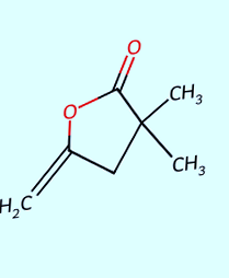 C=C1CC(C)(C)C(=O)O1